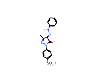 CC1=NN(c2ccc(S(=O)(=O)O)cc2)C(=O)/C1=N/Nc1ccccc1